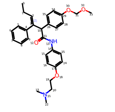 CC/C=C(\c1ccccc1)C(C(=O)Nc1ccc(OCCN(C)C)cc1)c1ccc(OCOC)cc1